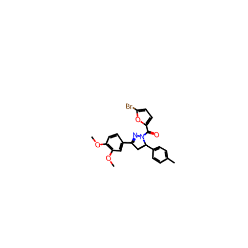 COc1ccc(C2=NN(C(=O)c3ccc(Br)o3)C(c3ccc(C)cc3)C2)cc1OC